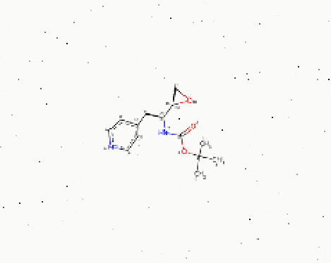 CC(C)(C)OC(=O)N[C@@H](Cc1ccncc1)[C@H]1CO1